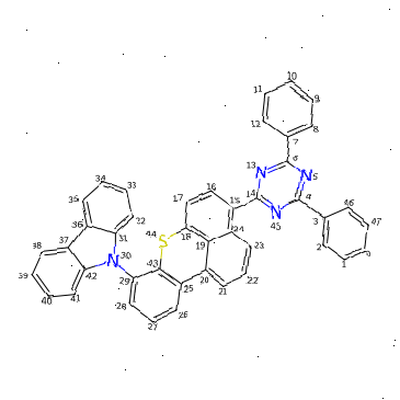 c1ccc(-c2nc(-c3ccccc3)nc(-c3ccc4c5c(cccc35)-c3cccc(-n5c6ccccc6c6ccccc65)c3S4)n2)cc1